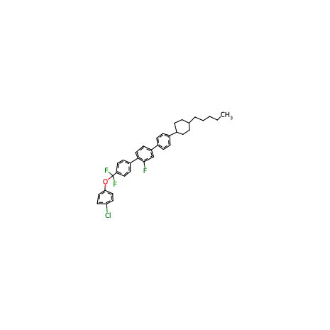 CCCCCC1CCC(c2ccc(-c3ccc(-c4ccc(C(F)(F)Oc5ccc(Cl)cc5)cc4)c(F)c3)cc2)CC1